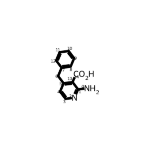 Nc1nccc(Cc2ccccc2)c1C(=O)O